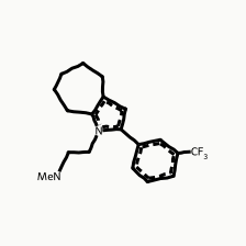 CNCCn1c(-c2cccc(C(F)(F)F)c2)cc2c1CCCCC2